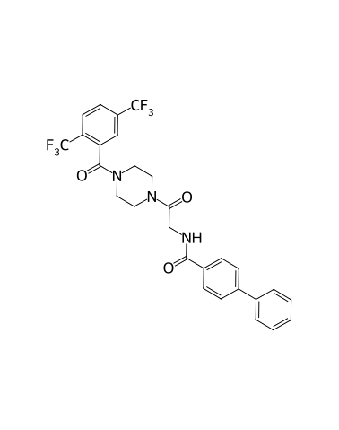 O=C(NCC(=O)N1CCN(C(=O)c2cc(C(F)(F)F)ccc2C(F)(F)F)CC1)c1ccc(-c2ccccc2)cc1